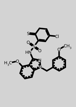 COc1cccc(Cn2nc(NS(=O)(=O)C3=CC(Cl)=CCC3=S)c3c(OC)cccc32)c1